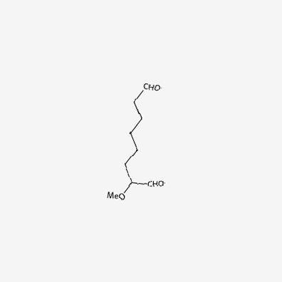 COC([C]=O)CCCCC[C]=O